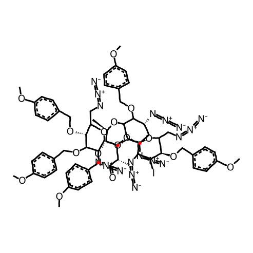 COc1ccc(COC2C(N=[N+]=[N-])[C@@H](O[C@@H]3C(N=[N+]=[N-])C[C@@H](N=[N+]=[N-])C(OCc4ccc(OC)cc4)C3O[C@H](C)[C@@H](OCc3ccc(OC)cc3)C(O[C@H]3OC(CN=[N+]=[N-])[C@@H](OCc4ccc(OC)cc4)C(I)C3N=[N+]=[N-])[C@H](C)C=O)OC(CN=[N+]=[N-])[C@H]2OCc2ccc(OC)cc2)cc1